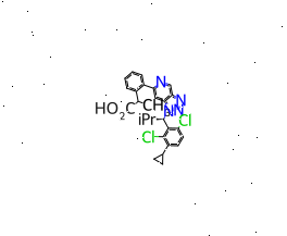 CC(C(=O)O)c1ccccc1-c1cc2c(cn1)nnn2[C@@H](c1c(Cl)ccc(C2CC2)c1Cl)C(C)C